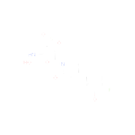 COc1cc(-c2ccn(CCC(C)(C(=O)NO)S(C)(=O)=O)c(=O)c2)ccc1F